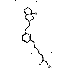 CC(C)(C)OC(=O)CCOCCc1cccc(CCN2CC3CCC[C@@H]3C2)c1